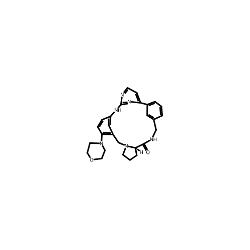 O=C1NCc2cccc(c2)-c2ccnc(n2)Nc2ccc(N3CCOCC3)c(c2)CN2CCC[C@@H]12